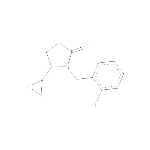 O=C1CCC(C2CO2)N1Cc1ccccc1Cl